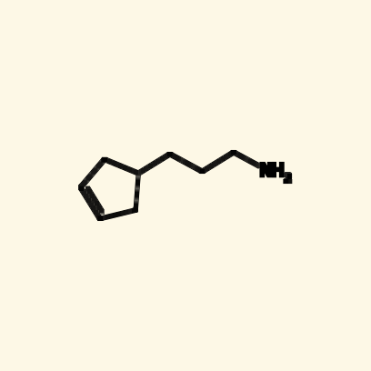 NCCCC1CC=CC1